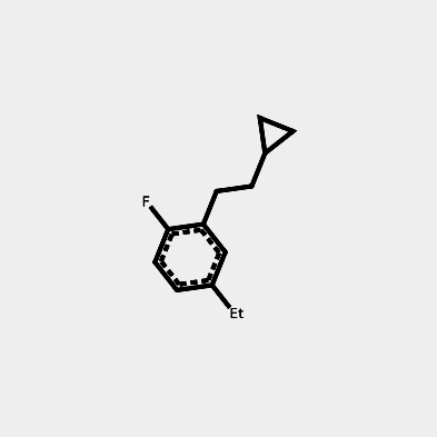 CCc1ccc(F)c(CCC2CC2)c1